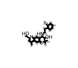 Cc1cc(CO)nc2cc3c(cc12)OC(C)(C)C(O)C3NCCc1ccccc1F